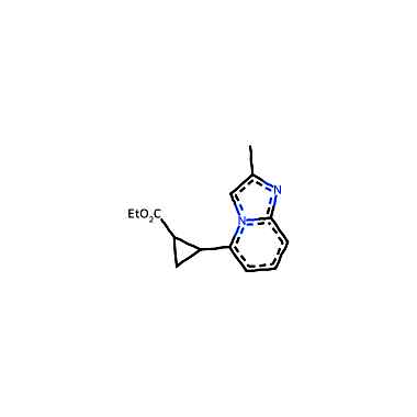 CCOC(=O)C1CC1c1cccc2nc(C)cn12